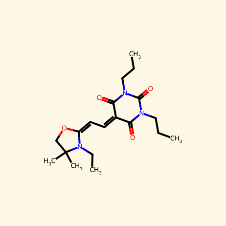 CCCN1C(=O)C(=C/C=C2/OCC(C)(C)N2CC)C(=O)N(CCC)C1=O